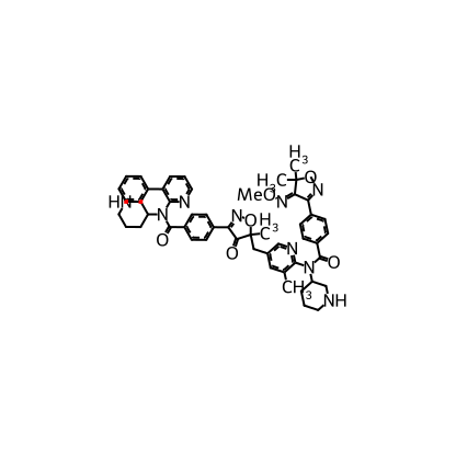 CO/N=C1/C(c2ccc(C(=O)N(c3ncc(CC4(C)ON=C(c5ccc(C(=O)N(c6ncccc6-c6ccccc6)C6CCCNC6)cc5)C4=O)cc3C)C3CCCNC3)cc2)=NOC1(C)C